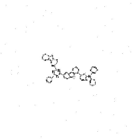 c1ccc(-c2nc(-c3ccc4oc5c(-c6ccc7c8ccccc8n(-c8ccccc8)c7c6)cccc5c4c3)nc(-c3ccc4sc5ccccc5c4c3)n2)cc1